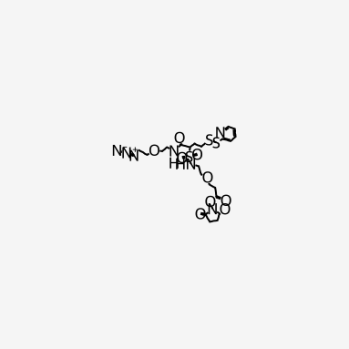 [N-]=[N+]=NCCOCCNC(=O)C(CCSSc1ccccn1)S(=O)(=O)NCCOCCC(=O)ON1C(=O)CCC1=O